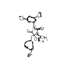 CN1C(=O)N(c2cc(Cl)cc(Cl)c2)C(=O)C1(C)Cc1ccc(Br)cc1